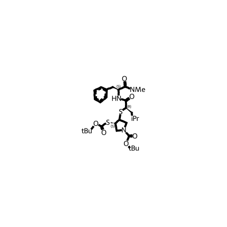 CNC(=O)[C@H](Cc1ccccc1)NC(=O)[C@@H](CC(C)C)SC1CN(C(=O)OC(C)(C)C)C[C@@H]1SC(=O)OC(C)(C)C